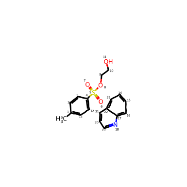 Cc1ccc(S(=O)(=O)OCCO)cc1.c1ccc2ncccc2c1